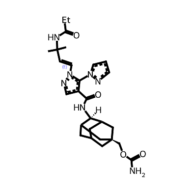 CCC(=O)NC(C)(C)/C=C/n1ncc(C(=O)N[C@H]2C3CC4CC2C[C@@](COC(N)=O)(C4)C3)c1-n1cccn1